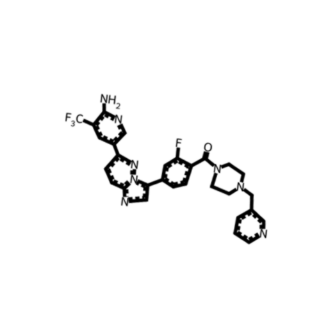 Nc1ncc(-c2ccc3ncc(-c4ccc(C(=O)N5CCN(Cc6cccnc6)CC5)c(F)c4)n3n2)cc1C(F)(F)F